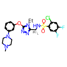 CCn1c(Oc2cccc(N3CCN(C)CC3)c2)nnc1[C@@H](C)NS(=O)(=O)c1cc(F)c(F)cc1Cl